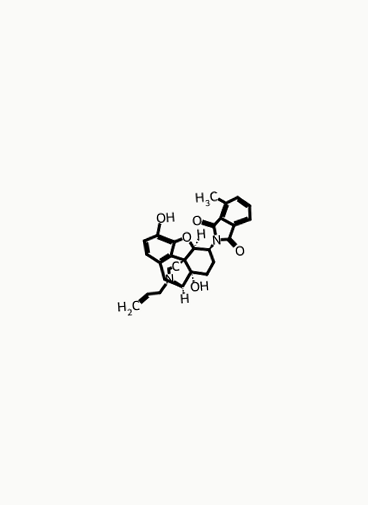 C=CCN1CC[C@]23c4c5ccc(O)c4O[C@H]2[C@@H](N2C(=O)c4cccc(C)c4C2=O)CC[C@@]3(O)[C@H]1C5